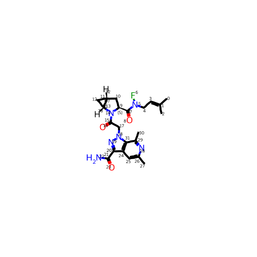 CC(C)=CCN(F)C(=O)[C@@H]1C[C@H]2C[C@H]2N1C(=O)Cn1nc(C(N)=O)c2cc(C)nc(C)c21